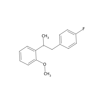 COc1ccccc1[C](C)Cc1ccc(F)cc1